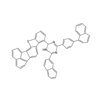 c1ccc2cc(C3=NC(c4ccc(-c5cccc6ccccc56)cc4)=NC(c4cccc5sc6c7c(ccc6c45)-c4cccc5cccc-7c45)N3)ccc2c1